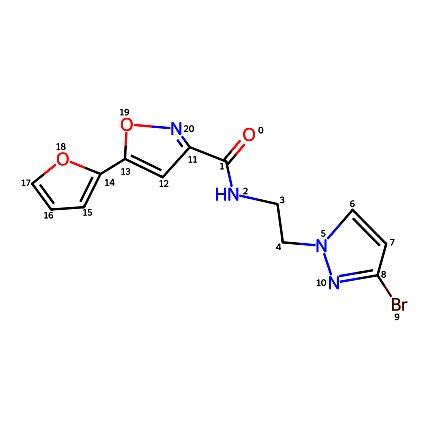 O=C(NCCn1ccc(Br)n1)c1cc(-c2ccco2)on1